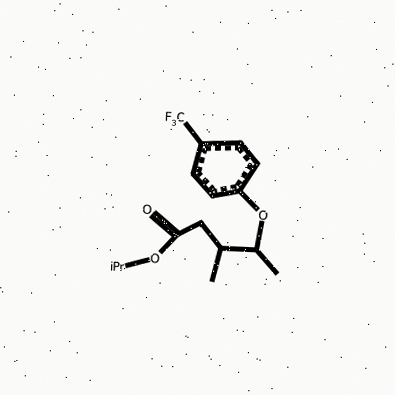 CC(C)OC(=O)CC(C)C(C)Oc1ccc(C(F)(F)F)cc1